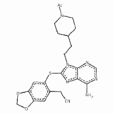 CC(=O)N1CCC(CCn2c(Sc3cc4c(cc3CC#N)OCO4)nc3c(N)ncnc32)CC1